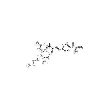 N=C(N)Nc1ccc(C=CC(=O)N[C@@H](CC(=O)O)C(=O)N[C@@H](CCCCN)C(N)=O)cc1